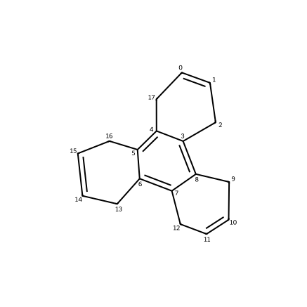 C1=CCc2c(c3c(c4c2CC=CC4)CC=CC3)C1